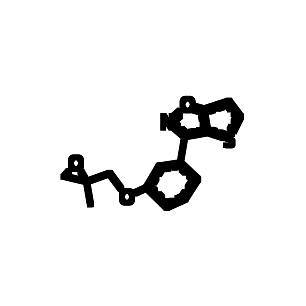 CC1(COc2cccc(-c3noc4ccsc34)c2)CO1